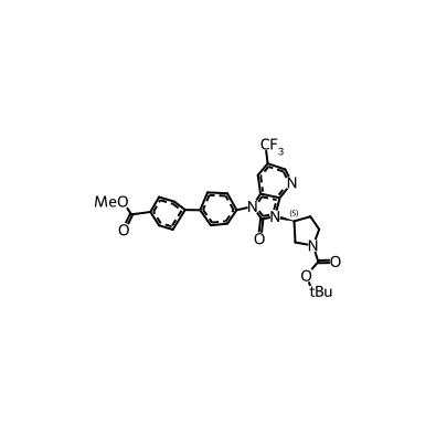 COC(=O)c1ccc(-c2ccc(-n3c(=O)n([C@H]4CCN(C(=O)OC(C)(C)C)C4)c4ncc(C(F)(F)F)cc43)cc2)cc1